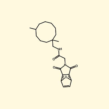 CC1CCCCCC(C)(CNC(=O)CN2C(=O)c3c(c4ccc3o4)C2=O)CCC1